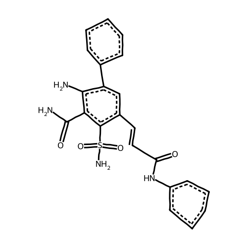 NC(=O)c1c(N)c(-c2ccccc2)cc(/C=C/C(=O)Nc2ccccc2)c1S(N)(=O)=O